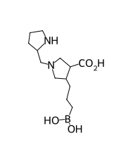 O=C(O)C1CN(CC2CCCN2)CC1CCCB(O)O